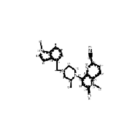 C[C@H]1CN(Cc2cccc3c2ccn3C)CCN1c1cc(=O)n(C)c2ccc(C#N)nc12